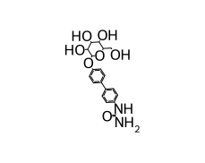 NC(=O)Nc1ccc(-c2ccc(OC3OC(CO)C(O)C(O)C3O)cc2)cc1